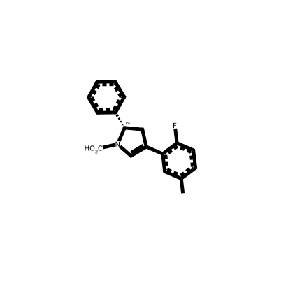 O=C(O)N1C=C(c2cc(F)ccc2F)C[C@H]1c1ccccc1